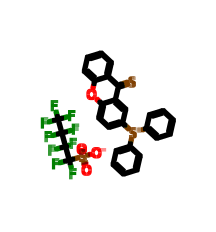 O=S(=O)([O-])C(F)(F)C(F)(F)C(F)(F)C(F)(F)F.S=c1c2ccccc2oc2ccc([S+](c3ccccc3)c3ccccc3)cc12